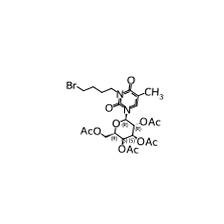 CC(=O)OC[C@H]1O[C@@H](n2cc(C)c(=O)n(CCCCBr)c2=O)[C@H](OC(C)=O)[C@@H](OC(C)=O)[C@H]1OC(C)=O